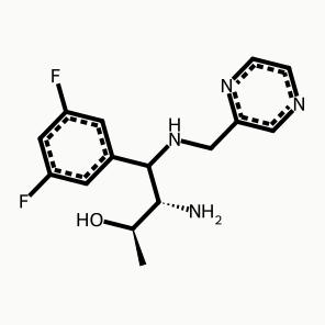 C[C@@H](O)[C@@H](N)C(NCc1cnccn1)c1cc(F)cc(F)c1